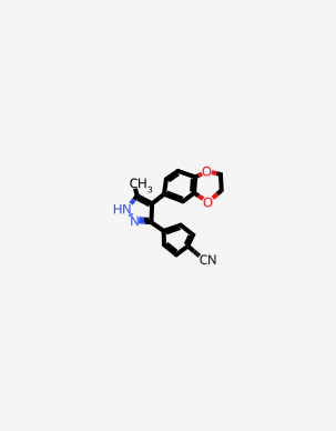 Cc1[nH]nc(-c2ccc(C#N)cc2)c1-c1ccc2c(c1)OCCO2